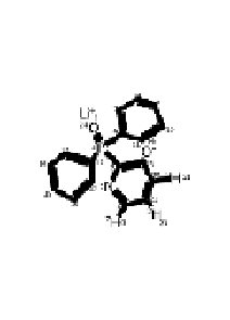 [2H]c1nc(P(=O)(c2ccccc2)c2ccccc2)c([O-])c([2H])c1[2H].[Li+]